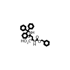 O=C(C[C@@H](NC(=O)OCc1ccccc1)C(=O)O)NC(c1ccccc1)(c1ccccc1)c1ccccc1